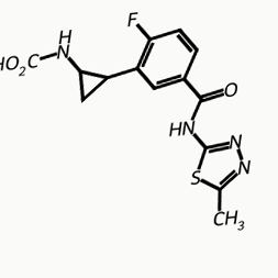 Cc1nnc(NC(=O)c2ccc(F)c(C3CC3NC(=O)O)c2)s1